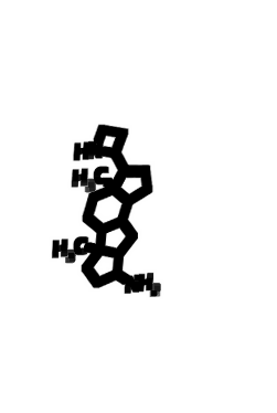 CC12CCC3C(CC4C(N)CCC43C)C1CC=C2C1CCN1